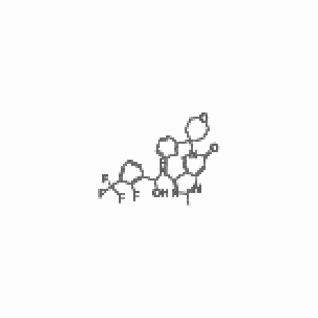 Cc1nc(NC(O)c2cccc(C(F)(F)F)c2F)c2cn(C3(c4ccccc4)CCOCC3)c(=O)cc2n1